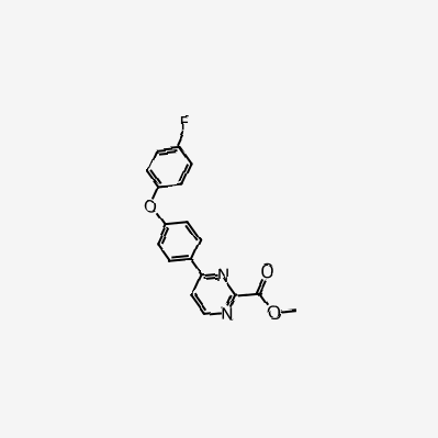 COC(=O)c1nccc(-c2ccc(Oc3ccc(F)cc3)cc2)n1